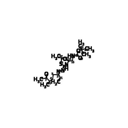 C=C/C(CCC(C)C(C)=O)=N\N=C(\NC(=O)CNC(=O)OC(C)(C)C)SCC